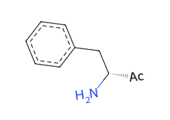 CC(=O)[C@H](N)Cc1ccccc1